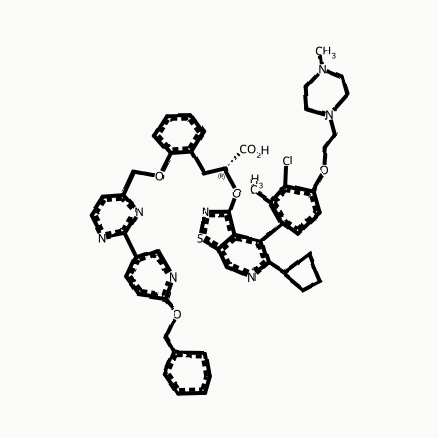 Cc1c(-c2c(C3CCC3)ncc3snc(O[C@H](Cc4ccccc4OCc4ccnc(-c5ccc(OCc6ccccc6)nc5)n4)C(=O)O)c23)ccc(OCCN2CCN(C)CC2)c1Cl